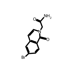 NC(=O)Cn1ccc2cc(Br)ccc2c1=O